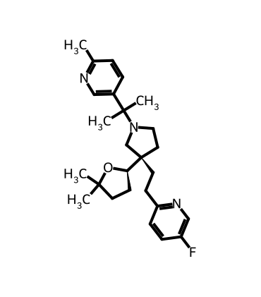 Cc1ccc(C(C)(C)N2CC[C@](CCc3ccc(F)cn3)([C@H]3CCC(C)(C)O3)C2)cn1